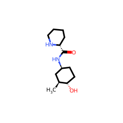 C[C@H]1C[C@@H](NC(=O)[C@H]2CCCCN2)CC[C@@H]1O